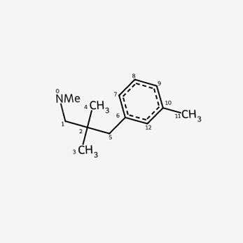 CNCC(C)(C)Cc1cccc(C)c1